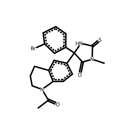 CC(=O)N1CCCc2cc(C3(c4cccc(Br)c4)NC(=S)N(C)C3=O)ccc21